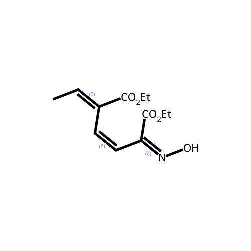 C\C=C(/C=C\C(=N\O)C(=O)OCC)C(=O)OCC